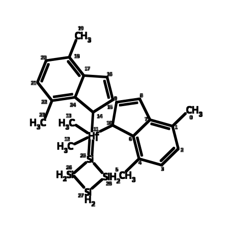 Cc1ccc(C)c2c1C=C[CH]2[Hf]([CH3])([CH3])([CH]1C=Cc2c(C)ccc(C)c21)=[Si]1[SiH2][SiH2][SiH2]1